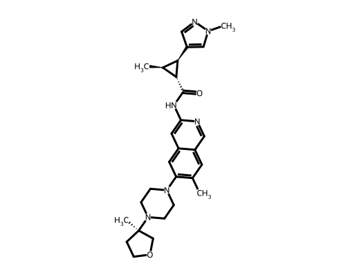 Cc1cc2cnc(NC(=O)[C@@H]3[C@@H](C)[C@H]3c3cnn(C)c3)cc2cc1N1CCN([C@]2(C)CCOC2)CC1